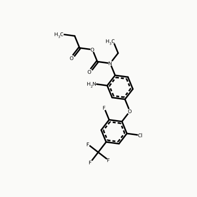 CCC(=O)OC(=O)N(CC)c1ccc(Oc2c(F)cc(C(F)(F)F)cc2Cl)cc1N